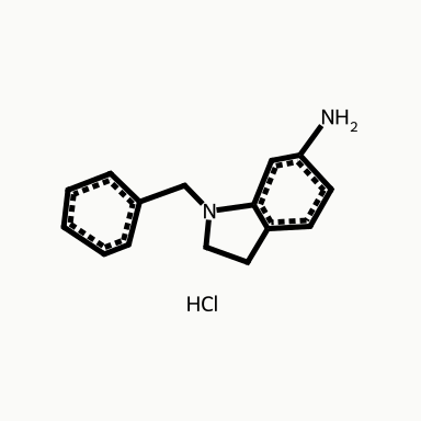 Cl.Nc1ccc2c(c1)N(Cc1ccccc1)CC2